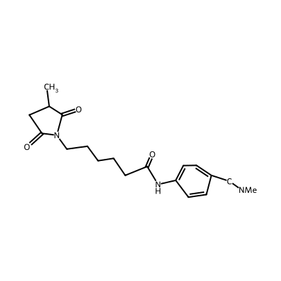 CNCc1ccc(NC(=O)CCCCCN2C(=O)CC(C)C2=O)cc1